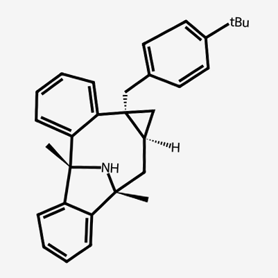 CC(C)(C)c1ccc(C[C@]23C[C@H]2C[C@@]2(C)N[C@@](C)(c4ccccc43)c3ccccc32)cc1